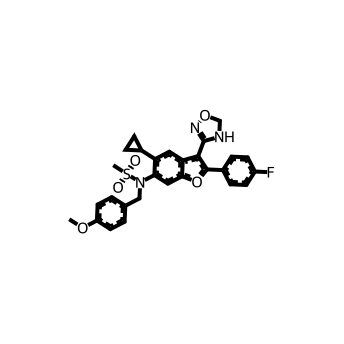 COc1ccc(CN(c2cc3oc(-c4ccc(F)cc4)c(C4=NOCN4)c3cc2C2CC2)S(C)(=O)=O)cc1